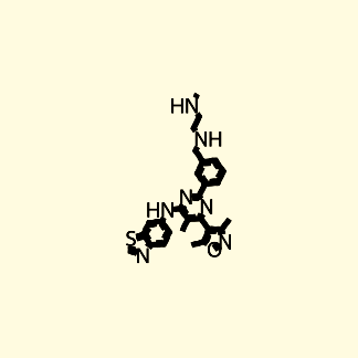 CNCCNCc1cccc(-c2nc(Nc3ccc4ncsc4c3)c(C)c(-c3c(C)noc3C)n2)c1